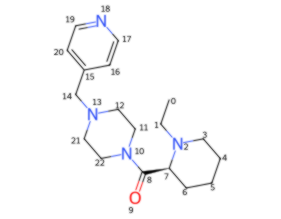 CCN1CCCC[C@H]1C(=O)N1CCN(Cc2ccncc2)CC1